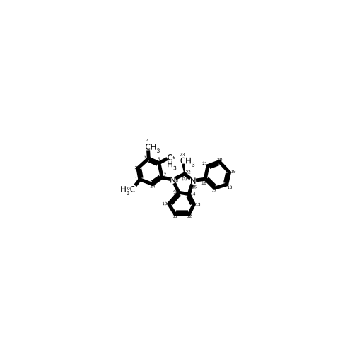 Cc1cc(C)c(C)c(N2c3ccccc3N(c3ccccc3)[C@@H]2C)c1